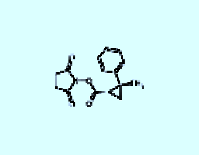 C[C@@]1(c2ccccc2)C[C@H]1C(=O)ON1C(=O)CCC1=O